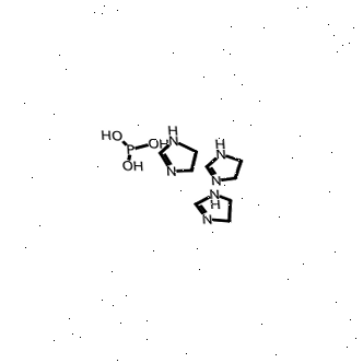 C1=NCCN1.C1=NCCN1.C1=NCCN1.OP(O)O